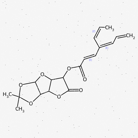 C=C/C=C(\C=C/C)/C=C/C(=O)OC1C(=O)OC2C3OC(C)(C)OC3OC12